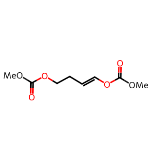 COC(=O)OC=CCCOC(=O)OC